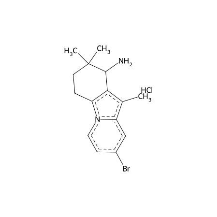 Cc1c2c(n3ccc(Br)cc13)CCC(C)(C)C2N.Cl